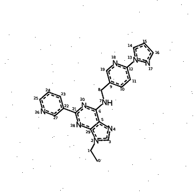 CCn1cnc2c(NCc3ccc(-n4cccn4)nc3)nc(-c3cccnc3)nc21